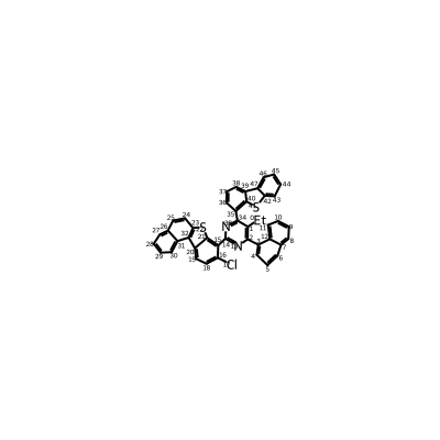 CCc1c(-c2cccc3ccccc23)nc(-c2c(Cl)ccc3c2sc2ccc4ccccc4c23)nc1-c1cccc2c1sc1ccccc12